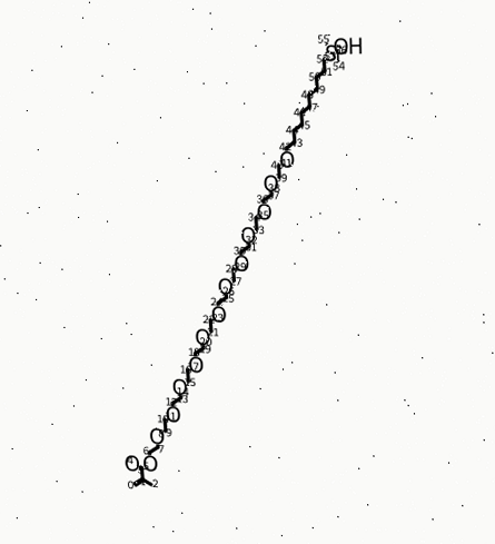 C=C(C)C(=O)OCCOCCOCCOCCOCCOCCOCCOCCOCCOCCOCCOCCOCCCCCCCCCCC[Si](C)(C)O